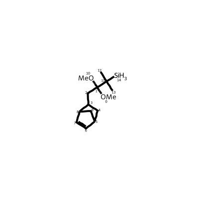 COC(CC1CC2C=CC1C2)(OC)C(C)(C)[SiH3]